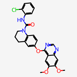 COc1cc2ncnc(Oc3ccc4c(c3)CCCN4C(=O)Nc3ccccc3Cl)c2cc1OC